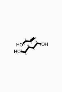 C=CCO.OCCCCO